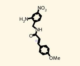 COc1ccc(/C=C/C(=O)NCc2ccc([N+](=O)[O-])cc2N)cc1